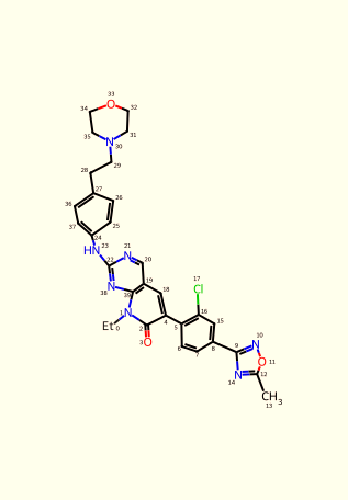 CCn1c(=O)c(-c2ccc(-c3noc(C)n3)cc2Cl)cc2cnc(Nc3ccc(CCN4CCOCC4)cc3)nc21